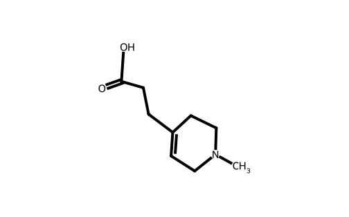 CN1CC=C(CCC(=O)O)CC1